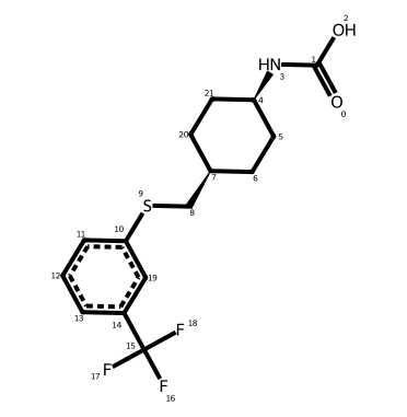 O=C(O)N[C@H]1CC[C@@H](CSc2cccc(C(F)(F)F)c2)CC1